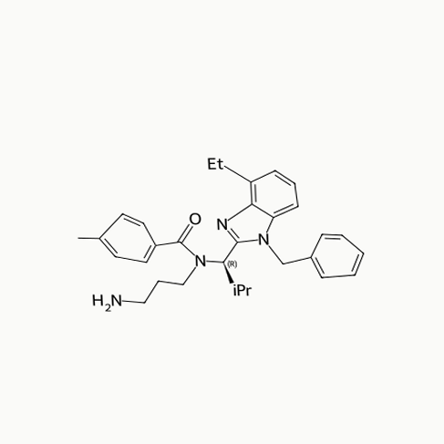 CCc1cccc2c1nc([C@@H](C(C)C)N(CCCN)C(=O)c1ccc(C)cc1)n2Cc1ccccc1